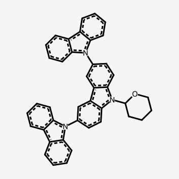 c1ccc2c(c1)c1ccccc1n2-c1ccc2c(c1)c1cc(-n3c4ccccc4c4ccccc43)ccc1n2C1CCCCO1